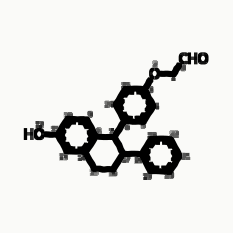 O=CCOc1ccc(C2c3ccc(O)cc3CCC2c2ccccc2)cc1